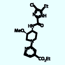 CCOC(=O)c1ccnc(N2CC[C@@H](NC(=O)c3nc(Cl)c(CC)[nH]3)[C@@H](OC)C2)c1